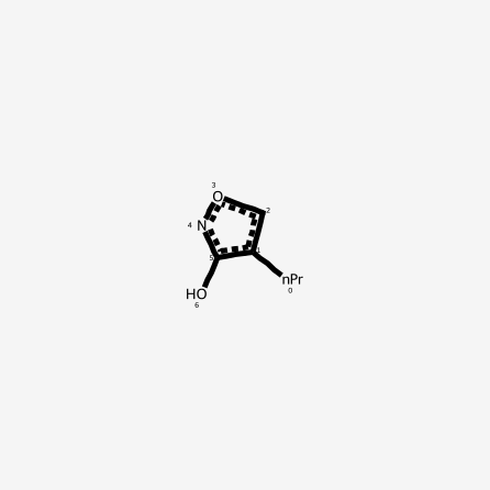 CCCc1conc1O